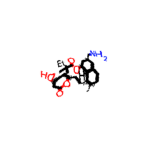 CCC(C)(C)C(=O)O[C@H]1C[C@@H](CN)C=C2C=C[C@H](C)[C@H](CC[C@@H]3C[C@@H](O)CC(=O)O3)[C@H]21